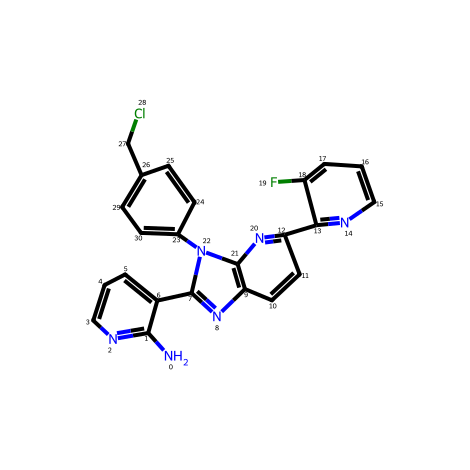 Nc1ncccc1-c1nc2ccc(-c3ncccc3F)nc2n1-c1ccc(CCl)cc1